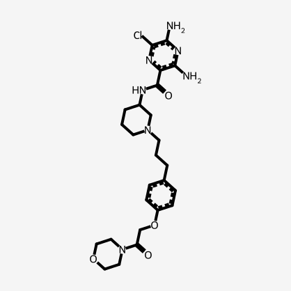 Nc1nc(N)c(C(=O)NC2CCCN(CCCc3ccc(OCC(=O)N4CCOCC4)cc3)C2)nc1Cl